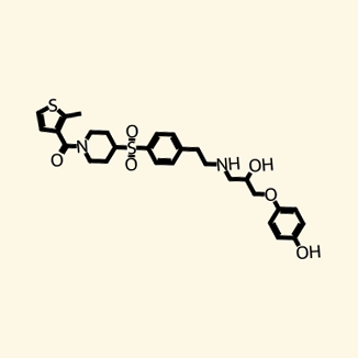 Cc1sccc1C(=O)N1CCC(S(=O)(=O)c2ccc(CCNCC(O)COc3ccc(O)cc3)cc2)CC1